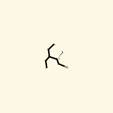 CCC(CC)[C@H](C)[CH2][Al]